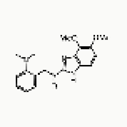 COc1ccc2[nH]c([S+]([O-])Cc3ccccc3N(C)C)nc2c1OC